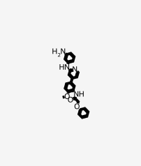 COc1ccc(-c2ccnc(Nc3cccc(N)c3)c2)cc1NC(=O)COc1ccccc1